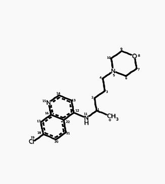 CC(CCCN1CCOCC1)Nc1ccnc2cc(Cl)ccc12